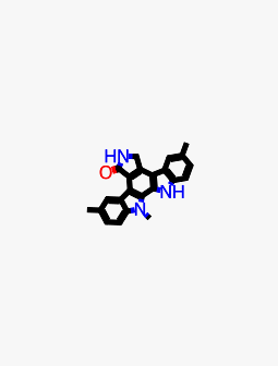 Cc1ccc2[nH]c3c(c4c(c5c6cc(C)ccc6n(C)c35)C(=O)NC4)c2c1